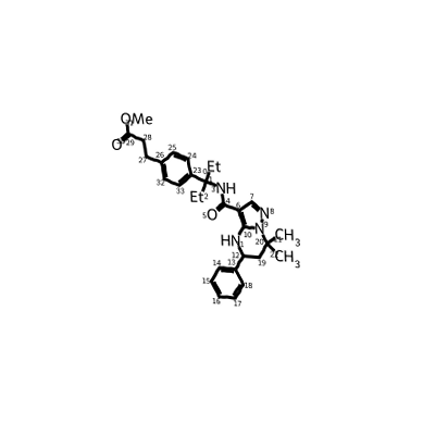 CCC(CC)(NC(=O)c1cnn2c1NC(c1ccccc1)CC2(C)C)c1ccc(CCC(=O)OC)cc1